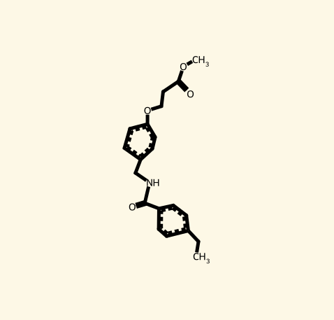 CCc1ccc(C(=O)NCc2ccc(OCCC(=O)OC)cc2)cc1